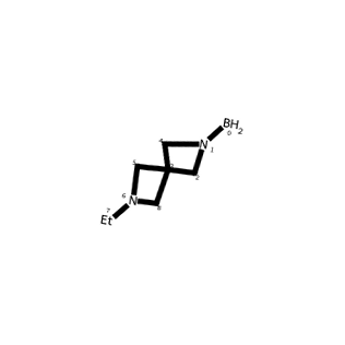 BN1CC2(C1)CN(CC)C2